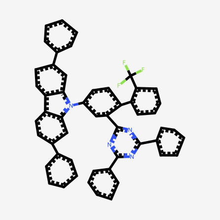 FC(F)(F)c1ccccc1-c1ccc(-n2c3cc(-c4ccccc4)ccc3c3ccc(-c4ccccc4)cc32)cc1-c1nc(-c2ccccc2)nc(-c2ccccc2)n1